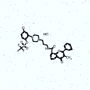 Cc1c(-c2ccccc2)oc2c(C(=O)NCCCN3CCN(c4cc(Cl)ccc4OS(=O)(=O)C(F)(F)F)CC3)cccc2c1=O.Cl